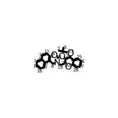 CC(C)(C)OC(=O)N(Cc1cccc2ccccc12)CC1CC(=O)c2ccccc2O1